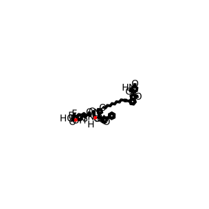 CC(C)(C)[C@H](NC(=O)c1cc2cc(C(F)(F)P(=O)(O)O)ccc2s1)C(=O)N1C[C@@H](OCCCCCCCCC#Cc2cccc3c2CN(C2CCC(=O)NC2=O)C3=O)C[C@H]1C(=O)N1CCOC(c2ccccc2)C1